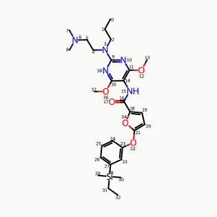 CCCN(CCN(C)C)c1nc(OC)c(NC(=O)c2ccc(Oc3cccc([Si](C)(C)CC)c3)o2)c(OC)n1